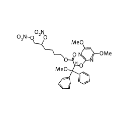 COc1cc(OC)nc(O[C@H](C(=O)OCCCCC(CO[N+](=O)[O-])O[N+](=O)[O-])C(OC)(c2ccccc2)c2ccccc2)n1